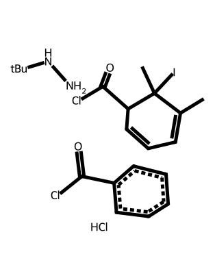 CC(C)(C)NN.CC1=CC=CC(C(=O)Cl)C1(C)I.Cl.O=C(Cl)c1ccccc1